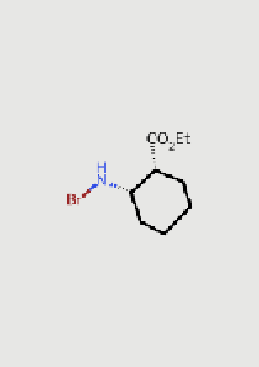 CCOC(=O)[C@@H]1CCCC[C@@H]1NBr